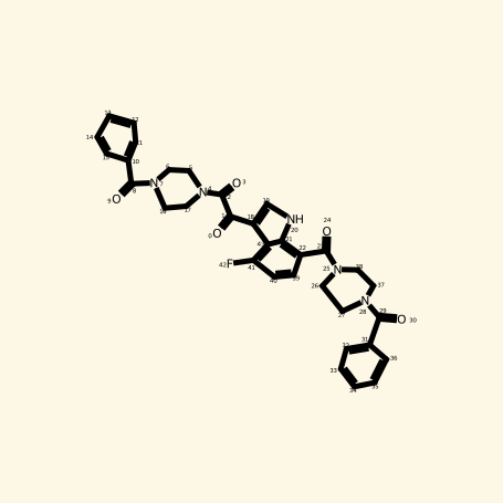 O=C(C(=O)N1CCN(C(=O)c2ccccc2)CC1)c1c[nH]c2c(C(=O)N3CCN(C(=O)c4ccccc4)CC3)ccc(F)c12